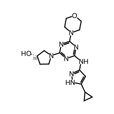 O[C@H]1CCN(c2nc(Nc3cc(C4CC4)[nH]n3)nc(N3CCOCC3)n2)C1